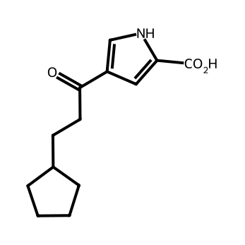 O=C(CCC1CCCC1)c1c[nH]c(C(=O)O)c1